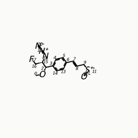 CO[C@H](c1ccc(/C=C/C[S+](C)[O-])cc1)[C@@H](CF)N=[N+]=[N-]